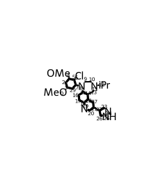 COc1cc(OC)c(Cl)c(N2CCN(C(C)C)Cc3c2ccc2ncc(-c4cn[nH]c4)cc32)c1